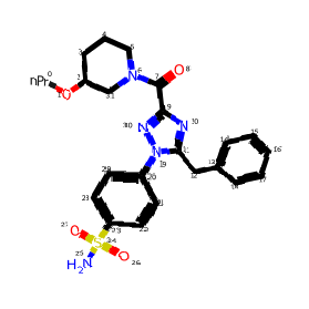 CCCOC1CCCN(C(=O)c2nc(Cc3ccccc3)n(-c3ccc(S(N)(=O)=O)cc3)n2)C1